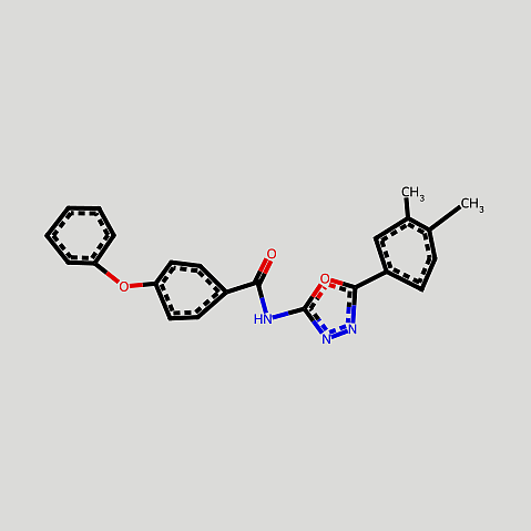 Cc1ccc(-c2nnc(NC(=O)c3ccc(Oc4ccccc4)cc3)o2)cc1C